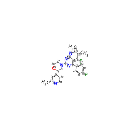 Cc1cc(C2CN(c3nc(-c4ccc(F)cc4F)c4cc(C)c(C)nc4n3)CCO2)ccn1